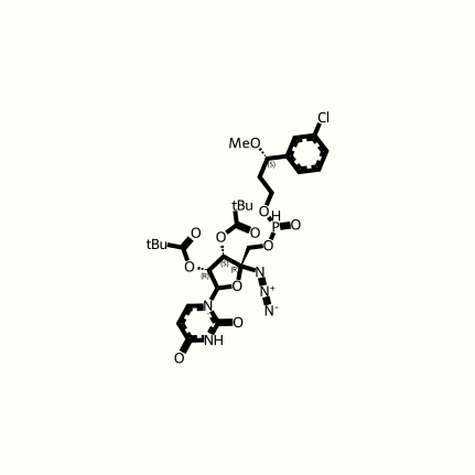 CO[C@@H](CCO[PH](=O)OC[C@@]1(N=[N+]=[N-])OC(n2ccc(=O)[nH]c2=O)[C@H](OC(=O)C(C)(C)C)[C@@H]1OC(=O)C(C)(C)C)c1cccc(Cl)c1